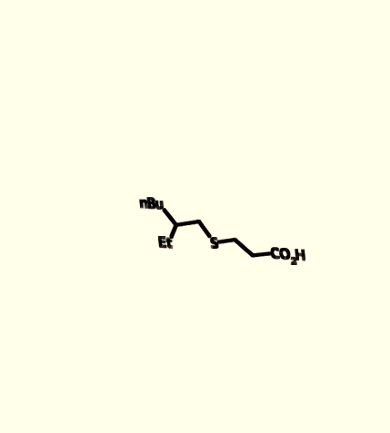 CCCCC(CC)CSCCC(=O)O